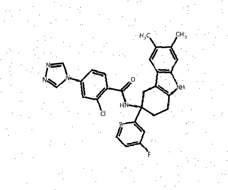 Cc1cc2[nH]c3c(c2cc1C)CC(NC(=O)c1ccc(-n2cnnc2)cc1Cl)(c1bccc(F)c1)CC3